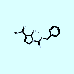 CC1C(C(=O)O)=CCN1C(=O)OCc1ccccc1